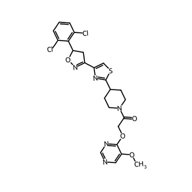 COc1cncnc1OCC(=O)N1CCC(c2nc(C3=NOC(c4c(Cl)cccc4Cl)C3)cs2)CC1